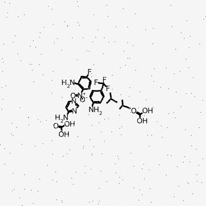 CC(C)C.CC(C)C.Nc1cc(F)ccc1[N+](=O)[O-].Nc1ccc(C(F)(F)F)cc1.Nc1ccncn1.O=C(O)O.O=C(O)O